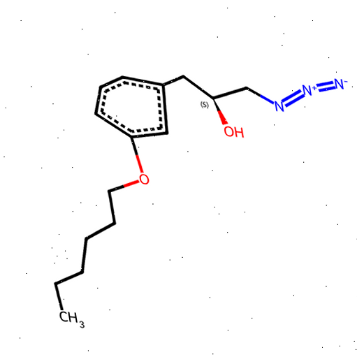 CCCCCCOc1cccc(C[C@H](O)CN=[N+]=[N-])c1